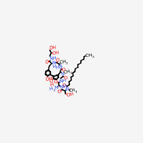 CCCCCCCCCCCCCCCC(=O)N(C)C(CO)C(=O)N[C@H](N)C(=O)NCC(=O)N(C)[C@@H]1C(=O)N[C@@H](C)C(=O)NC(C(=O)NCC(O)CO)Cc2ccc(O)c(c2)-c2cc1ccc2O